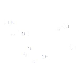 COc1cc(C)cc2cc(-c3cc(CNC(=O)CN)n4ncnc(N)c34)sc12